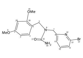 COc1ccc(CN(Cc2cccc(Br)n2)C(N)=O)c(OC)c1